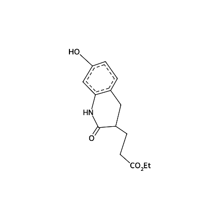 CCOC(=O)CCC1Cc2ccc(O)cc2NC1=O